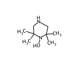 CC1(C)CNCC(C)(C)N1O